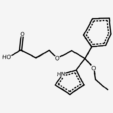 CCOC(COCCC(=O)O)(c1ccccc1)c1ccc[nH]1